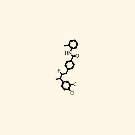 Cc1ccccc1NC(=O)c1ccc(CC(F)C(C)c2ccc(Cl)c(Cl)c2)cc1